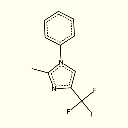 Cc1nc(C(F)(F)F)cn1-c1ccccc1